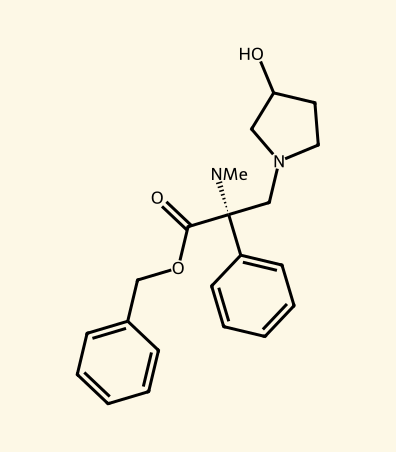 CN[C@@](CN1CCC(O)C1)(C(=O)OCc1ccccc1)c1ccccc1